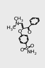 CN(C)C=C(Oc1ccc(S(N)(=O)=O)cc1)C(=O)c1ccccc1